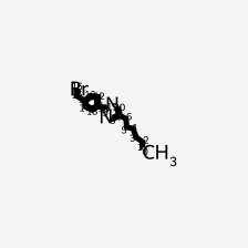 CCCCCCCc1cnc(-c2ccc(CBr)cc2)nc1